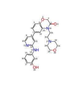 O=C1COc2ccc(-c3ccnc(Nc4cccc(O)c4)c3)cc2N1CCN1CCOCC1